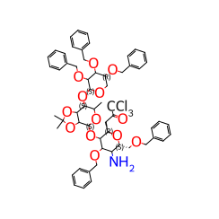 CC1O[C@@H](OC2C(OCc3ccccc3)C(N)[C@@H](COCc3ccccc3)O[C@@H]2CC(=O)C(Cl)(Cl)Cl)C2OC(C)(C)OC2[C@H]1O[C@@H]1OC[C@@H](OCc2ccccc2)C(OCc2ccccc2)C1OCc1ccccc1